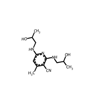 Cc1cc(NCC(C)O)nc(NCC(C)O)c1C#N